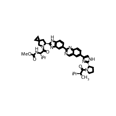 COC(=O)N[C@H](C(=O)N1CC2(CC2)C[C@H]1c1nc2cc(-c3ncc4cc(-c5c[nH]c([C@@H]6CCCN6C(=O)[C@@H](C)C(C)C)n5)ccc4n3)ccc2[nH]1)C(C)C